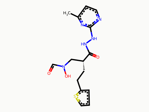 Cc1ccnc(NNC(=O)[C@H](CCc2cccs2)CN(O)C=O)n1